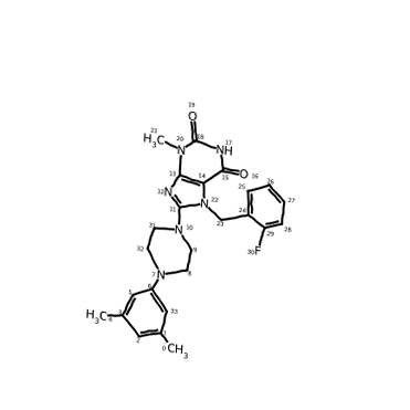 Cc1cc(C)cc(N2CCN(c3nc4c(c(=O)[nH]c(=O)n4C)n3Cc3ccccc3F)CC2)c1